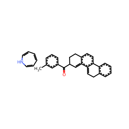 C1=CC=CNC=C1.Cc1cccc(C(=O)C2C=c3c(ccc4c3=CCc3ccccc3-4)CC2)c1